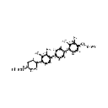 CCCCCCCC1CCC(c2ccc(-c3ccc(-c4ccc(OCCCCCC)c(F)c4F)cc3)c(F)c2F)CO1